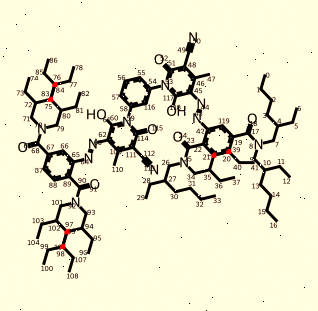 CCCCC(CC)CN(CC(CC)CCCC)C(=O)c1ccc(C(=O)N(CC(CC)CCCC)CC(CC)CCCC)c(/N=N/c2c(C)c(C#N)c(=O)n(-c3cccc(-n4c(O)c(/N=N/c5cc(C(=O)N(CC(CC)CCCC)CC(CC)CCCC)ccc5C(=O)N(CC(CC)CCCC)CC(CC)CCCC)c(C)c(C#N)c4=O)c3)c2O)c1